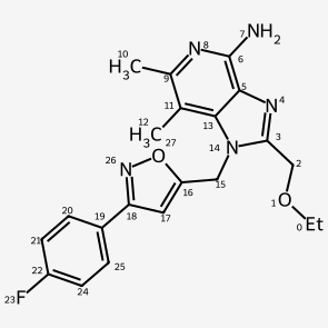 CCOCc1nc2c(N)nc(C)c(C)c2n1Cc1cc(-c2ccc(F)cc2)no1